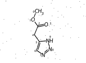 COC(=O)Cc1[c]nn[nH]1